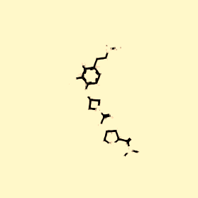 CN(C)C(=O)C1C[C@@H](CC(=O)N2CC(Oc3ccc(CCB(O)O)c(O)c3C(=O)O)C2)CN1